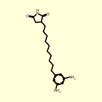 Nc1cc(N)cc(CCCCCCCCCCC2CC(=O)NC2=O)c1